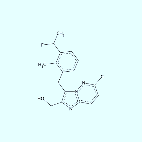 Cc1c(Cc2c(CO)nc3ccc(Cl)nn23)cccc1C(C)F